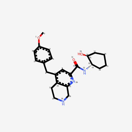 COc1ccc(Cc2cc(C(=O)N[C@H]3CCCC[C@@H]3O)nc3c2CCNC3)cc1